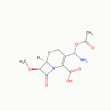 CO[C@@H]1C(=O)N2C(C(=O)O)=C(C(N)OC(C)=O)CS[C@H]12